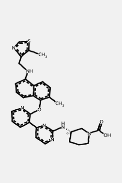 Cc1ccc2c(NCc3ncsc3C)cccc2c1Oc1ncccc1-c1ccnc(N[C@H]2CCCN(C(=O)O)C2)n1